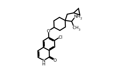 CC(N)C1(CC2CC2)CCC(Oc2cc3cc[nH]c(=O)c3cc2Cl)CC1